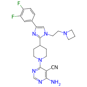 N#Cc1c(N)ncnc1N1CCC(c2nc(-c3ccc(F)c(F)c3)cn2CCN2CCC2)CC1